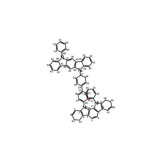 C1=Cc2c(c3ccc4c5c(n(-c6ccccc6)c4c3n2-c2ccc(C3=CCC(n4c6ccccc6c6cc7c(cc64)c4ccccc4n7-c4ccccc4)C=C3)cc2)CCC=C5)CC1